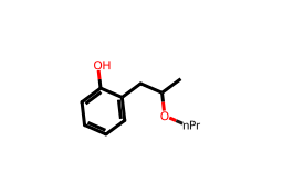 CCCOC(C)Cc1ccccc1O